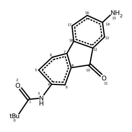 CC(C)(C)C(=O)Nc1ccc2c(c1)C(=O)c1cc(N)ccc1-2